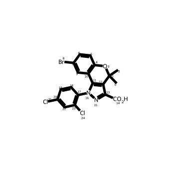 CC1(C)Oc2ccc(Br)cc2-c2c1c(C(=O)O)nn2-c1ccc(Cl)cc1Cl